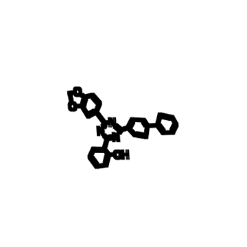 Oc1ccccc1-c1nc(-c2ccc(-c3ccccc3)cc2)nc(-c2ccc3c(c2)OCO3)n1